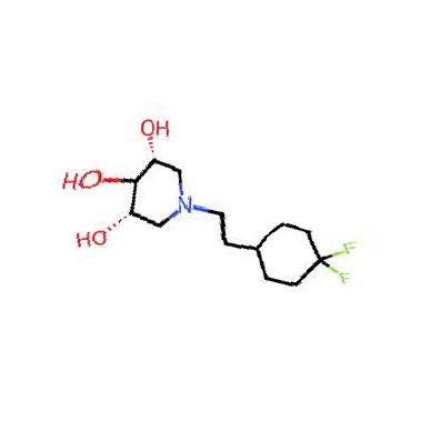 OC1[C@H](O)CN(CCC2CCC(F)(F)CC2)C[C@@H]1O